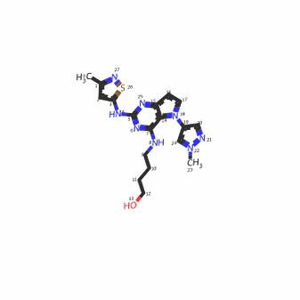 Cc1cc(Nc2nc(NCCCCO)c3c(ccn3-c3cnn(C)c3)n2)sn1